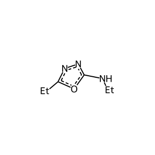 CCNc1nnc(CC)o1